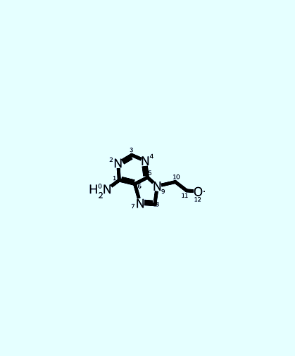 Nc1ncnc2c1ncn2CC[O]